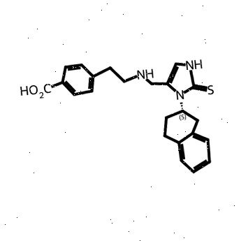 O=C(O)c1ccc(CCNCc2c[nH]c(=S)n2[C@H]2CCc3ccccc3C2)cc1